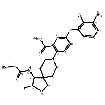 COC(=O)c1nc(Sc2ccnc(N)c2Cl)cnc1N1CCC2(CC1)CO[C@@H](C)[C@H]2NC(=O)OC(C)(C)C